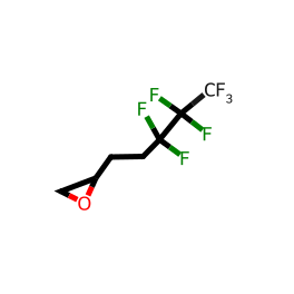 FC(F)(F)C(F)(F)C(F)(F)CCC1CO1